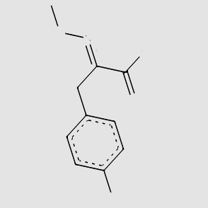 CO/N=C(\Cc1ccc(Cl)cc1)C(=O)O